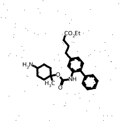 CCOC(=O)CCCc1ccc(-c2ccccc2)c(NC(=O)OC2(C)CCC(N)CC2)c1